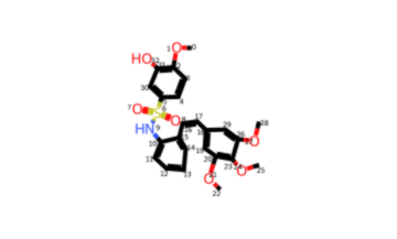 COc1ccc(S(=O)(=O)Nc2ccccc2/C=C\c2cc(OC)c(OC)c(OC)c2)cc1O